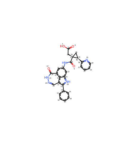 O=C(O)C[C@@]1(C(=O)Nc2cc3c4c(c(-c5ccccc5)[nH]c4c2)C=NNC3=O)C[C@H]1c1ccccn1